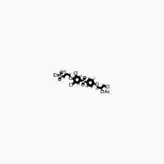 CCS(=O)(=O)C[C@H](C)COc1c(Cl)cc(S(=O)(=O)c2ccc(OC[C@H](CCl)OC(C)=O)cc2)cc1Cl